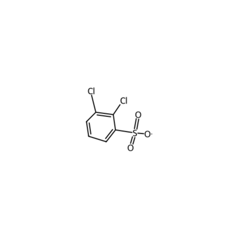 [O]S(=O)(=O)c1cccc(Cl)c1Cl